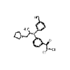 CCN(CC)C(=O)c1cccc(N(c2cccc(O)c2)C(C)CN2CCCC2)c1